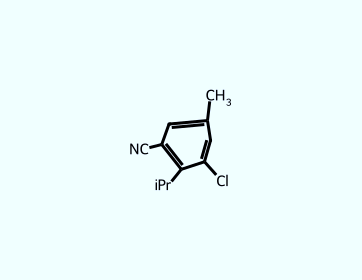 Cc1cc(Cl)c(C(C)C)c(C#N)c1